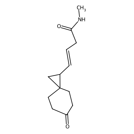 CNC(=O)C/C=C/C1CC12CCC(=O)CC2